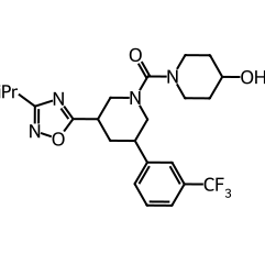 CC(C)c1noc(C2CC(c3cccc(C(F)(F)F)c3)CN(C(=O)N3CCC(O)CC3)C2)n1